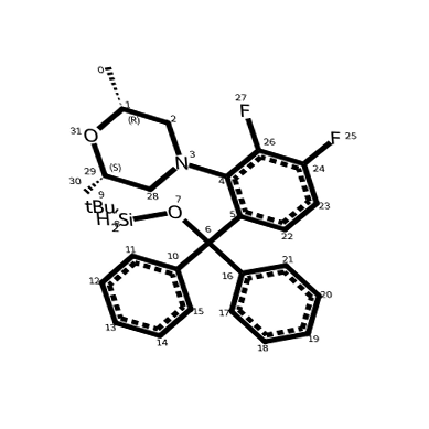 C[C@@H]1CN(c2c(C(O[SiH2]C(C)(C)C)(c3ccccc3)c3ccccc3)ccc(F)c2F)C[C@H](C)O1